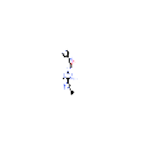 Cc1nc(NCc2cc(-c3ccncc3)no2)nc(N)c1-c1cc(C2CC2)[nH]n1